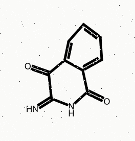 N=C1NC(=O)c2ccccc2C1=O